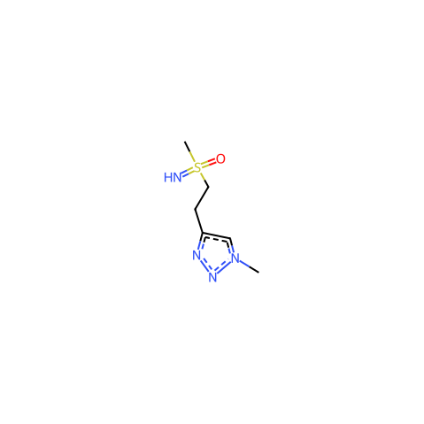 Cn1cc(CCS(C)(=N)=O)nn1